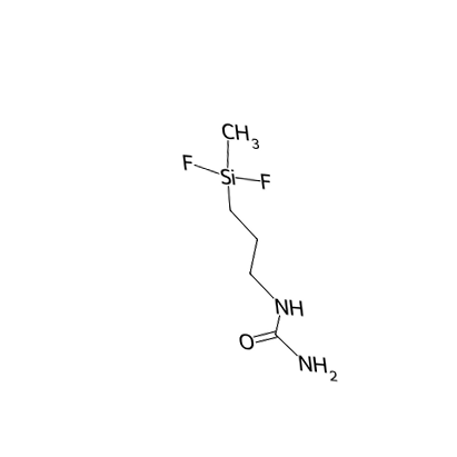 C[Si](F)(F)CCCNC(N)=O